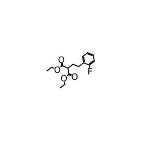 CCOC(=O)C(CCc1ccccc1F)C(=O)OCC